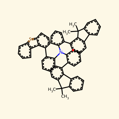 CC1(C)c2ccccc2-c2c(-c3ccccc3N(c3ccccc3-c3cccc4c3C(C)(C)c3ccccc3-4)c3ccccc3-c3cccc4sc5ccccc5c34)cccc21